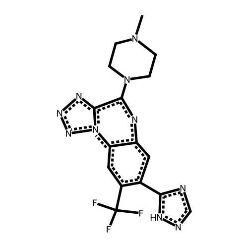 CN1CCN(c2nc3cc(-c4ncn[nH]4)c(C(F)(F)F)cc3n3nnnc23)CC1